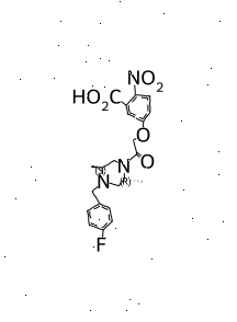 C[C@@H]1CN(Cc2ccc(F)cc2)[C@@H](C)CN1C(=O)COc1ccc([N+](=O)[O-])c(C(=O)O)c1